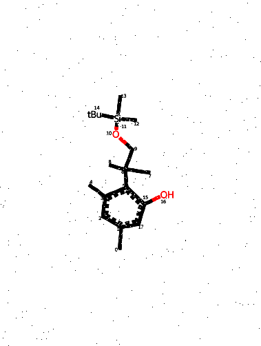 Cc1cc(C)c(C(C)(C)CO[Si](C)(C)C(C)(C)C)c(O)c1